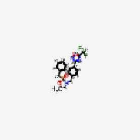 CCN(Cc1ccc(-c2noc(C(F)(F)F)n2)cc1)S(=O)(=O)Cc1ccccc1